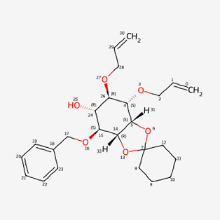 C=CCO[C@@H]1[C@@H]2OC3(CCCCC3)O[C@@H]2[C@@H](OCc2ccccc2)[C@H](O)[C@H]1OCC=C